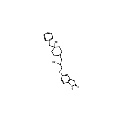 O=C1Cc2cc(OCC(O)CN3CCC(O)(Cc4ccccc4)CC3)ccc2N1